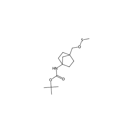 CSOCC12CCC(NC(=O)OC(C)(C)C)(CC1)C2